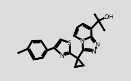 Cc1ccc(-c2csc(C3(c4nnc5c(C(C)(C)O)cccn45)CC3)n2)cc1